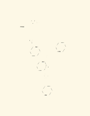 COC(=O)C1CCN(c2ccc(-c3ccc(OCc4ccccc4)nc3OCc3ccccc3)cc2F)CC1C